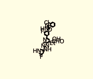 CCc1cc(-c2ccc(NS(=O)(=O)c3ccccc3Cl)c(F)c2)nc2cnc(N[C@@H]3CNC[C@@H](F)C3)nc12.O=CO